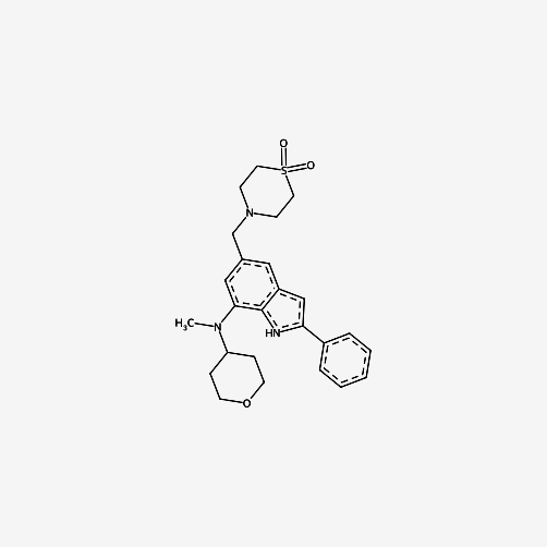 CN(c1cc(CN2CCS(=O)(=O)CC2)cc2cc(-c3ccccc3)[nH]c12)C1CCOCC1